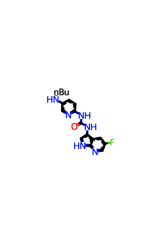 CCCCNc1ccc(NC(=O)Nc2c[nH]c3ncc(F)cc23)nc1